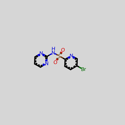 O=S(=O)(Nc1ncccn1)c1ccc(Br)cn1